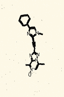 Cc1c[n+]([O-])c(C)c2nc(C#Cc3nc(-c4ccccc4)cn3C)nn12